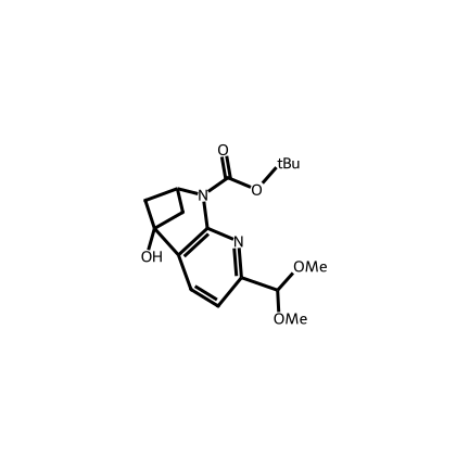 COC(OC)c1ccc2c(n1)N(C(=O)OC(C)(C)C)C1CC2(O)C1